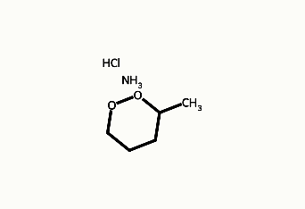 CC1CCCOO1.Cl.N